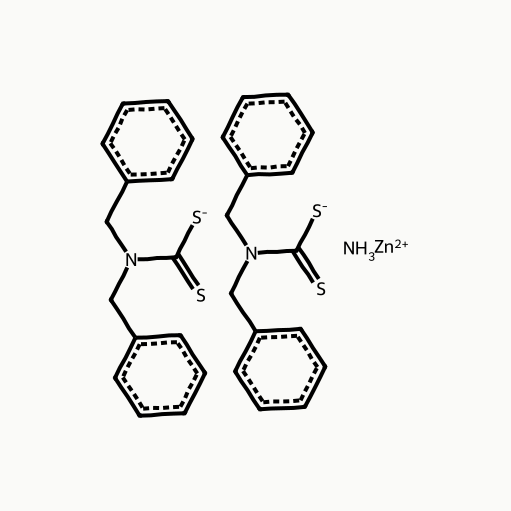 N.S=C([S-])N(Cc1ccccc1)Cc1ccccc1.S=C([S-])N(Cc1ccccc1)Cc1ccccc1.[Zn+2]